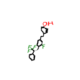 Oc1ccc(CCc2ccc(C[C@H](c3ccccc3)C(F)(F)F)c(F)c2)cc1